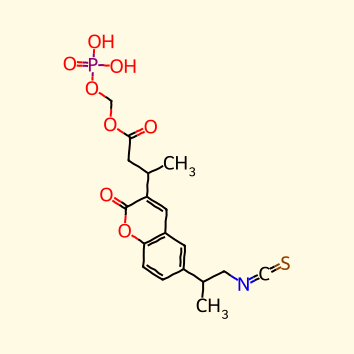 CC(CN=C=S)c1ccc2oc(=O)c(C(C)CC(=O)OCOP(=O)(O)O)cc2c1